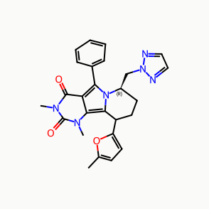 Cc1ccc(C2CC[C@H](Cn3nccn3)n3c(-c4ccccc4)c4c(=O)n(C)c(=O)n(C)c4c32)o1